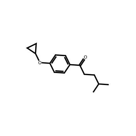 CC(C)CCC(=O)c1ccc(OC2CC2)cc1